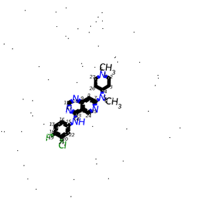 CN1CCC(N(C)c2cc3ncnc(Nc4ccc(F)c(Cl)c4)c3cn2)CC1